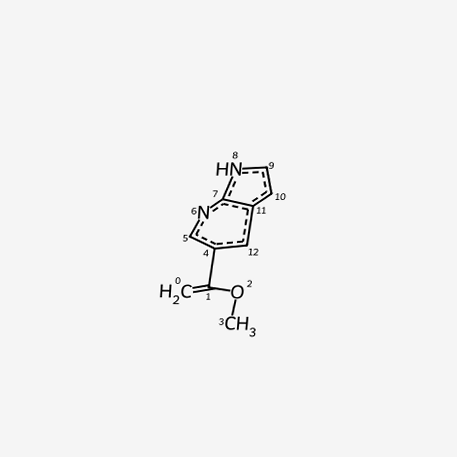 C=C(OC)c1cnc2[nH]ccc2c1